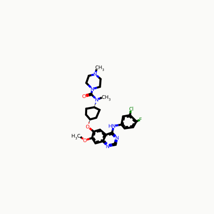 COc1cc2ncnc(Nc3ccc(F)c(Cl)c3)c2cc1O[C@H]1CC[C@@H](N(C)C(=O)N2CCN(C)CC2)CC1